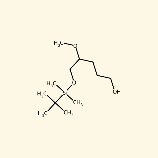 COC(CCCO)CO[Si](C)(C)C(C)(C)C